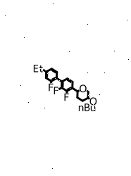 CCCCOC1CCC(c2ccc(-c3ccc(CC)cc3F)c(F)c2F)OC1